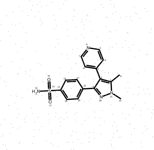 Cc1c(-c2ccncc2)c(-c2ccc(S(N)(=O)=O)cc2)nn1C